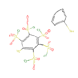 O=S(=O)(Cl)c1c(S)c(S(=O)(=O)Cl)c(S(=O)(=O)Cl)c(S(=O)(=O)Cl)c1S(=O)(=O)Cl.Sc1ccccc1